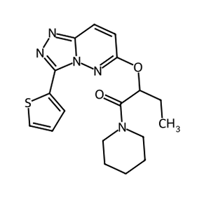 CCC(Oc1ccc2nnc(-c3cccs3)n2n1)C(=O)N1CCCCC1